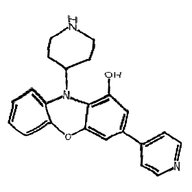 Oc1cc(-c2ccncc2)cc2c1N(C1CCNCC1)c1ccccc1O2